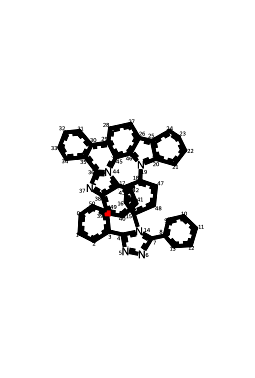 c1ccc(-c2nnc(-c3ccccc3)n2-c2ccc(-n3c4ccccc4c4ccc5c6ccccc6c6nc7ccccc7n6c5c43)cc2)cc1